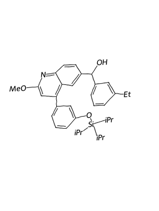 CCc1cccc(C(O)c2ccc3nc(OC)cc(-c4cccc(O[Si](C(C)C)(C(C)C)C(C)C)c4)c3c2)c1